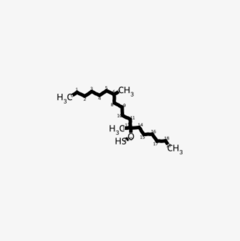 CCCCCCC(C)CCCCC(C)(CCCCCC)OS